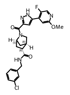 COc1cc(-c2cc(C(=O)N3C[C@@H]4C[C@H]3C[C@H]4C(=O)NCc3cccc(Cl)c3)n[nH]2)c(F)cn1